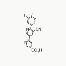 Cc1ccc(-c2ncc(-n3cc(C(=O)O)cn3)cc2C#N)cc1F